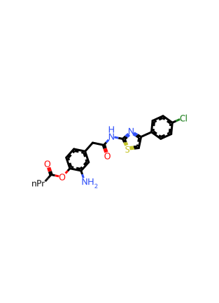 CCCC(=O)Oc1ccc(CC(=O)Nc2nc(-c3ccc(Cl)cc3)cs2)cc1N